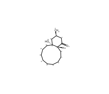 C[C@H]1CC(=O)[C@@H]2CCCCCCCCC[C@@]2(O)C1